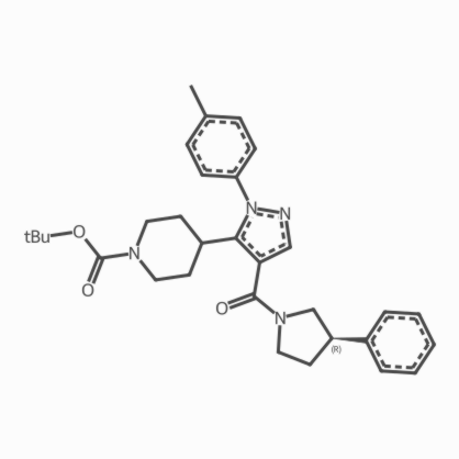 Cc1ccc(-n2ncc(C(=O)N3CC[C@H](c4ccccc4)C3)c2C2CCN(C(=O)OC(C)(C)C)CC2)cc1